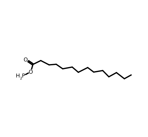 CCCCCCCCCCCCCC(=O)OP